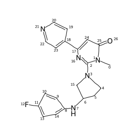 Cn1c(N2CCC(Nc3ccc(F)cc3)C2)nc(-c2ccncc2)cc1=O